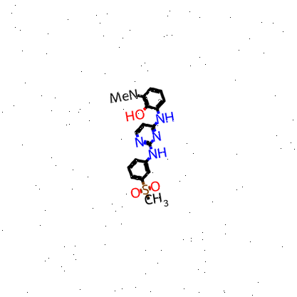 CNc1cccc(Nc2ccnc(Nc3cccc(S(C)(=O)=O)c3)n2)c1O